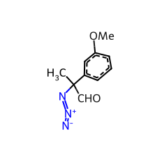 COc1cccc(C(C)(C=O)N=[N+]=[N-])c1